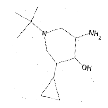 CC(C)(C)N1CC(N)C(O)C(C2CC2)C1